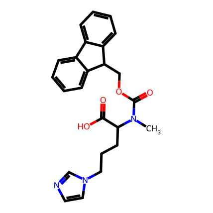 CN(C(=O)OCC1c2ccccc2-c2ccccc21)C(CCCn1ccnc1)C(=O)O